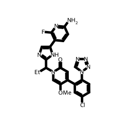 CCC(c1ncc(-c2ccc(N)nc2F)[nH]1)n1cc(OC)c(-c2cc(Cl)ccc2-n2cnnn2)cc1=O